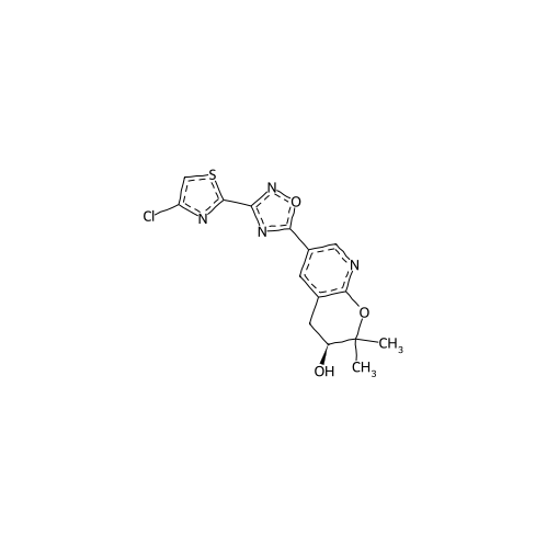 CC1(C)Oc2ncc(-c3nc(-c4nc(Cl)cs4)no3)cc2C[C@@H]1O